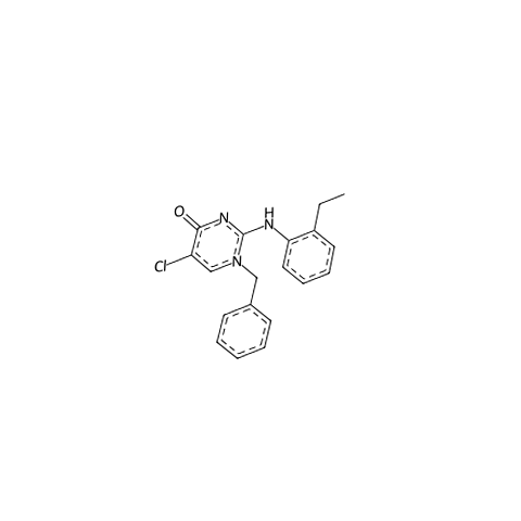 CCc1ccccc1Nc1nc(=O)c(Cl)cn1Cc1ccccc1